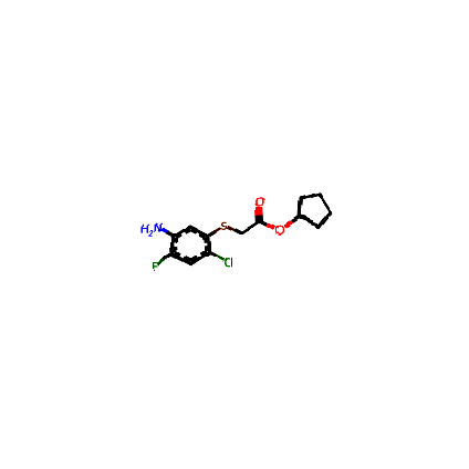 Nc1cc(SCC(=O)OC2CCCC2)c(Cl)cc1F